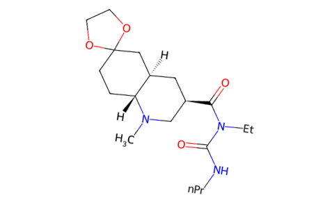 CCCNC(=O)N(CC)C(=O)[C@@H]1C[C@@H]2CC3(CC[C@H]2N(C)C1)OCCO3